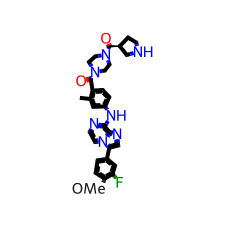 COc1ccc(-c2cnc3c(Nc4ccc(C(=O)N5CCN(C(=O)[C@H]6CCNC6)CC5)c(C)c4)nccn23)cc1F